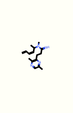 C=C/C=C\C(C)N(C)C(=N)CCc1nc(C)cnc1C